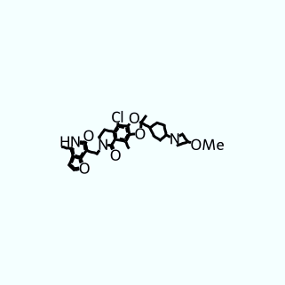 COC1CN(C2CCC(C3(C)Oc4c(C)c5c(c(Cl)c4O3)CCN(Cc3c(=O)[nH]c(C)c4ccoc34)C5=O)CC2)C1